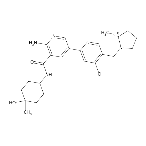 C[C@@H]1CCCN1Cc1ccc(-c2cnc(N)c(C(=O)NC3CCC(C)(O)CC3)c2)cc1Cl